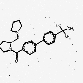 CC(C)(C)c1ccc(-c2ccc(C(=O)N3CCC[C@H]3CN3CCCC3)cc2)cc1